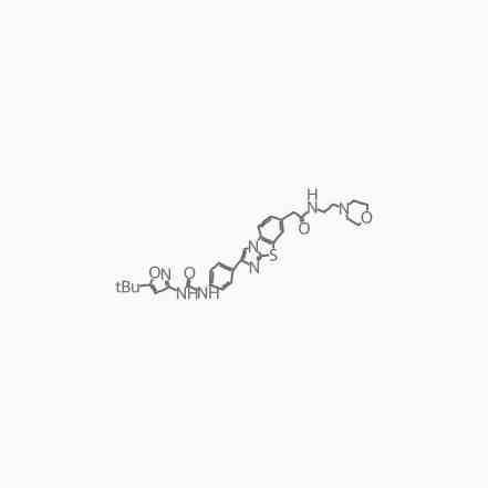 CC(C)(C)c1cc(NC(=O)Nc2ccc(-c3cn4c(n3)sc3cc(CC(=O)NCCN5CCOCC5)ccc34)cc2)no1